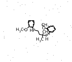 COc1ccccc1PCCC(C)(C)Pc1ccccc1OC